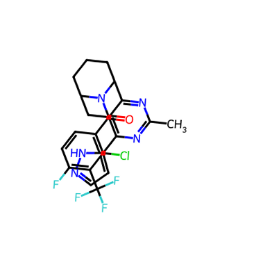 Cc1nc(-c2ccn[nH]2)c2c(n1)C1CCCC(C2)N1C(=O)c1ccc(F)c(C(F)(F)F)c1Cl